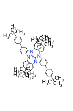 CC(C)(C)c1ccc(-c2ccc3c(c2)N(c2ccc(C(C)(C)C)cc2)/C(=C2\N(c4ccc(C(C)(C)C)cc4)c4ccc(-c5ccc(C(C)(C)C)cc5)cc4N2c2ccc(C(C)(C)C)cc2)N3c2ccc(C(C)(C)C)cc2)cc1